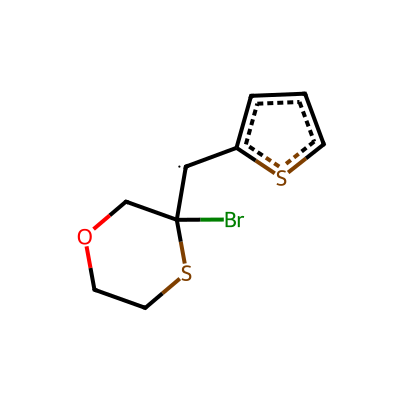 BrC1([CH]c2cccs2)COCCS1